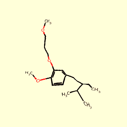 CC[C@H](Cc1ccc(OC)c(OCCCOC)c1)C(C)C